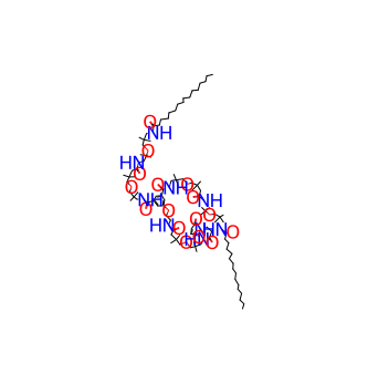 CCCCCCCCCCCCCCCC(=O)NCC(C)(C)COC(C)(C)CNC(=O)CC(C)(C)COCC(C)(C)CNC(=O)c1cc(OCCNC(=O)CC(C)(C)COCC(C)(C)CNC(=O)CCN2C(=O)C=CC2=O)cc(C(=O)NCC(C)(C)COCC(C)(C)CC(=O)NCC(C)(C)OCC(C)(C)CNC(=O)CCCCCCCCCCCCCCC)c1